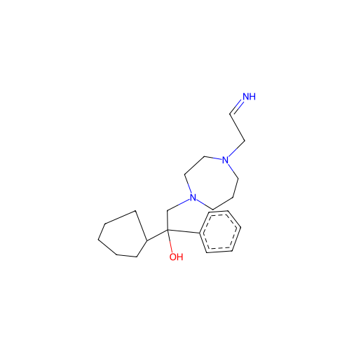 N=CCN1CCCN(CC(O)(c2ccccc2)C2CCCCC2)CC1